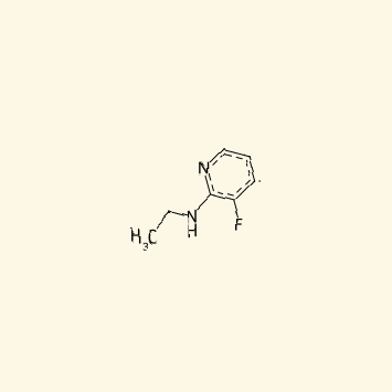 CCNc1ncc[c]c1F